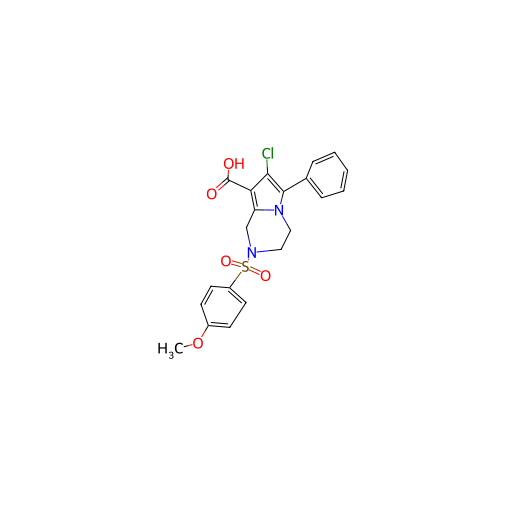 COc1ccc(S(=O)(=O)N2CCn3c(c(C(=O)O)c(Cl)c3-c3ccccc3)C2)cc1